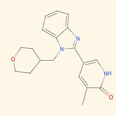 Cc1cc(-c2nc3ccccc3n2CC2CCOCC2)c[nH]c1=O